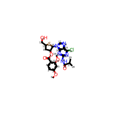 COc1ccc(C(=O)OC2CC(CO)SC2n2cnc3c(Cl)nc(NC(=O)C(C)C)nc32)c(OC)c1